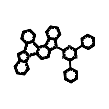 c1ccc(-c2nc(-c3ccccc3)nc(-n3c4ccccc4c4c5c6ccccc6c6cc7ccccc7n6c5ccc43)n2)cc1